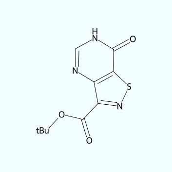 CC(C)(C)OC(=O)c1nsc2c(=O)[nH]cnc12